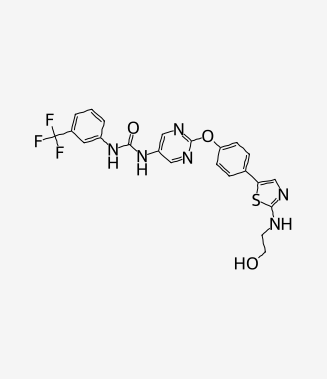 O=C(Nc1cnc(Oc2ccc(-c3cnc(NCCO)s3)cc2)nc1)Nc1cccc(C(F)(F)F)c1